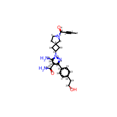 CC#CC(=O)N1CC[C@]2(C1)C[C@H](n1nc(-c3ccc(CCO)cc3)c(C(N)=O)c1N)C2